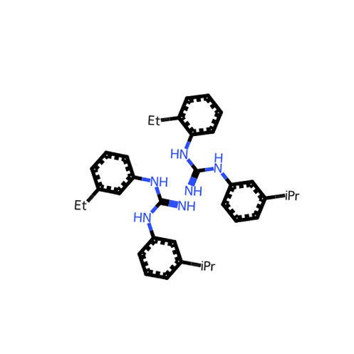 CCc1cccc(NC(=N)Nc2cccc(C(C)C)c2)c1.CCc1ccccc1NC(=N)Nc1cccc(C(C)C)c1